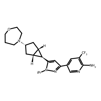 CC(C)n1nc(-c2cnc(N)c(C(F)(F)F)c2)cc1[C@H]1[C@@H]2C[C@H](N3CCCOCC3)C[C@@H]21